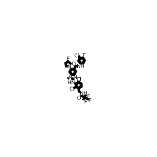 Cn1c(Nc2c(Cl)ccc(CNC(=O)C(C)(C)C(F)(F)F)c2Cl)nc2cc(C(=O)Nc3ccc(F)c(Cl)c3)c(N3CC[C@@H](F)C3)cc21